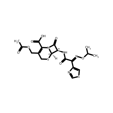 CC(=O)OCC1=C(C(=O)O)N2C(=O)[C@@H](NC(=O)C(=NOC(C)C)c3cscn3)[C@H]2SC1